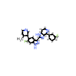 Cc1ccncc1-c1cc2c(-c3nc4c(-c5cccc(F)c5)nccc4[nH]3)n[nH]c2cc1F